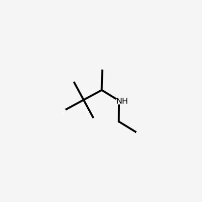 CCNC(C)C(C)(C)C